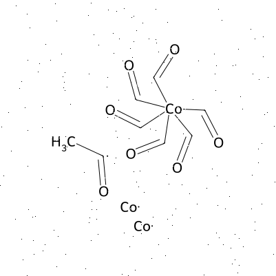 C[C]=O.O=[CH][Co]([CH]=O)([CH]=O)([CH]=O)([CH]=O)[CH]=O.[Co].[Co]